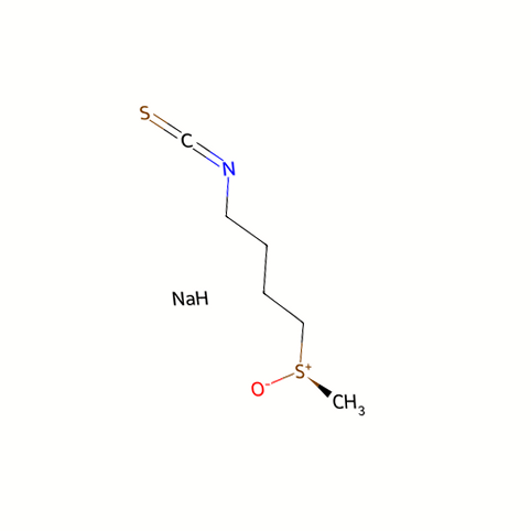 C[S@@+]([O-])CCCCN=C=S.[NaH]